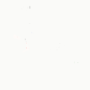 O=C(O)CCN(CCc1ccc(Cl)cc1)C(=O)OCc1ccccc1